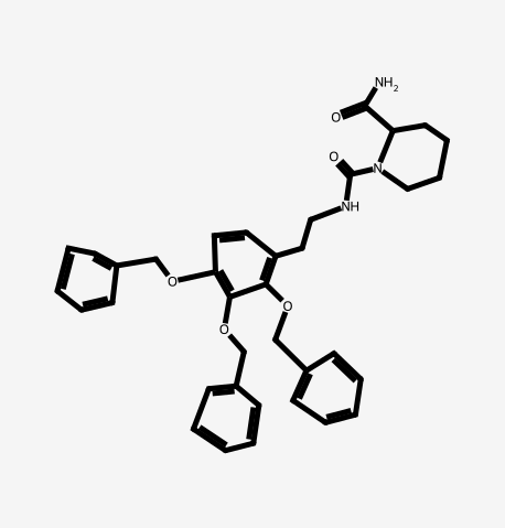 NC(=O)C1CCCCN1C(=O)NCCc1ccc(OCc2ccccc2)c(OCc2ccccc2)c1OCc1ccccc1